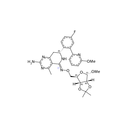 COc1cccc(-c2cc(F)ccc2[C@H]2Cc3nc(N)nc(C)c3/C(=N/OC[C@H]3O[C@H](OC)[C@@H]4OC(C)(C)O[C@@H]43)N2)n1